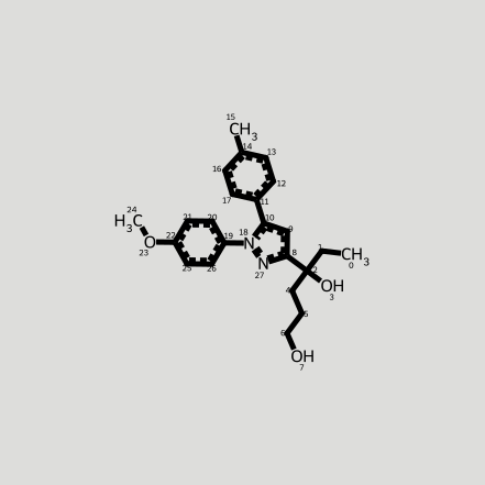 CCC(O)(CCCO)c1cc(-c2ccc(C)cc2)n(-c2ccc(OC)cc2)n1